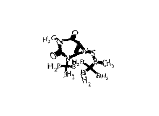 BC(B)(B)B(C)SN1c2c1n(C(B)(B)B)c(=O)n(C)c2=O